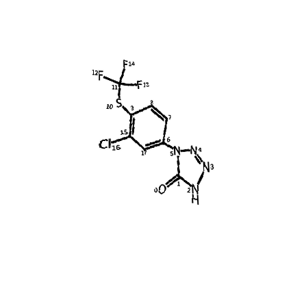 O=c1[nH]nnn1-c1ccc(SC(F)(F)F)c(Cl)c1